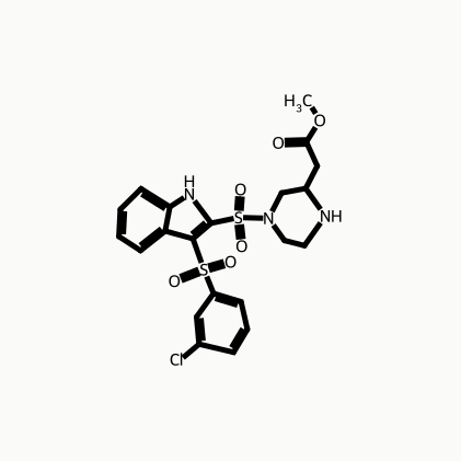 COC(=O)CC1CN(S(=O)(=O)c2[nH]c3ccccc3c2S(=O)(=O)c2cccc(Cl)c2)CCN1